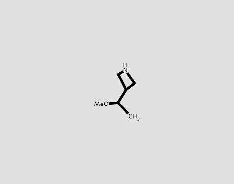 COC(C)C1CNC1